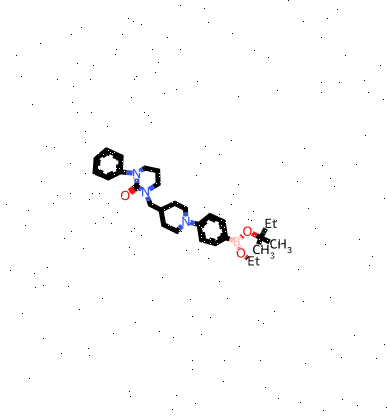 CCOB(OC(C)(C)CC)c1ccc(N2CCC(CN3CCCN(c4ccccc4)C3=O)CC2)cc1